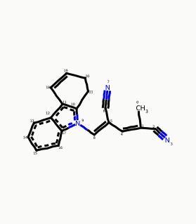 C/C(C#N)=C\C(C#N)=C\n1c2c(c3ccccc31)C=CCC2